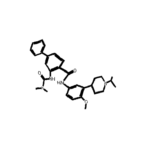 COc1ccc(NC(=O)c2ccc(-c3ccccc3)cc2NC(=O)N(C)C)cc1C1CCN(C(C)C)CC1